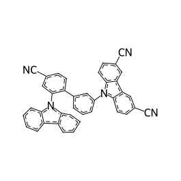 N#Cc1ccc(-c2cccc(-n3c4ccc(C#N)cc4c4cc(C#N)ccc43)c2)c(-n2c3ccccc3c3ccccc32)c1